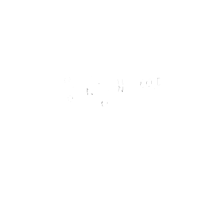 CCOC(=O)c1cc(C)cc(C)c1NC(=O)C1([N+]2(CC(=O)OCc3ccccc3)CCCCCC2)CCC1